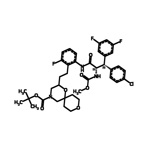 COC(=O)N[C@H](C(=O)Nc1cccc(F)c1CCC1CN(C(=O)OC(C)(C)C)CC2(CCOCC2)O1)[C@@H](c1ccc(Cl)cc1)c1cc(F)cc(F)c1